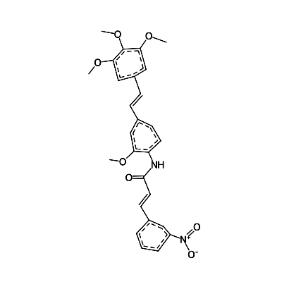 COc1cc(/C=C/c2cc(OC)c(OC)c(OC)c2)ccc1NC(=O)/C=C/c1cccc([N+](=O)[O-])c1